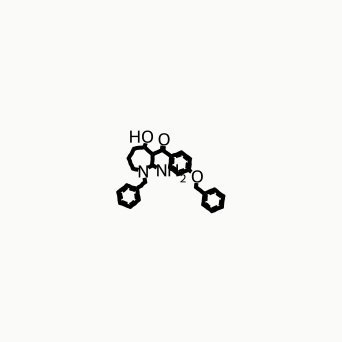 NC1C(C(=O)c2ccc(OCc3ccccc3)cc2)C(O)CCCN1Cc1ccccc1